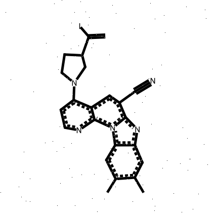 C=C(I)C1CCN(c2ccnc3c2cc(C#N)c2nc4cc(C)c(C)cc4n23)C1